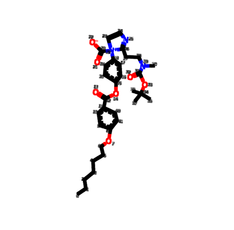 CCCCCCCOc1ccc(C(=O)Oc2ccc([N+]3(C(=O)[O-])C=CN=C3CCN(C)C(=O)OC(C)(C)C)cc2)cc1